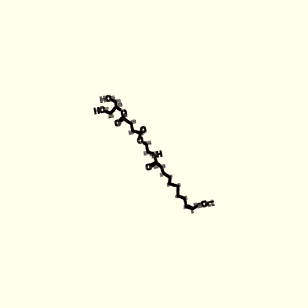 CCCCCCCC/C=C\CCCCCCCC(=O)NCCOC(=O)CCC(=O)OC(CO)CO